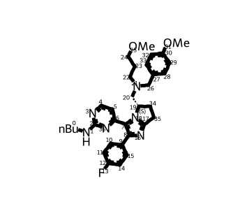 CCCCNc1nccc(-c2c(-c3ccc(F)cc3)nc3n2[C@H](CN(CCCOC)Cc2ccc(OC)cc2)CC3)n1